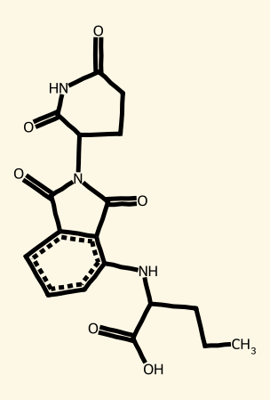 CCCC(Nc1cccc2c1C(=O)N(C1CCC(=O)NC1=O)C2=O)C(=O)O